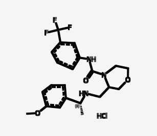 COc1cccc([C@@H](C)NCC2COCCN2C(=O)Nc2cccc(C(F)(F)F)c2)c1.Cl